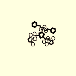 O=C(ON1C(=O)CCC1=O)c1cc(C(=O)ON2C(=O)CCC2=O)cc(P(=O)(OCc2ccccc2)OCc2ccccc2)c1